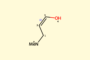 CNC/C=C\O